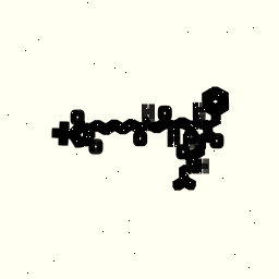 CC(C)CNC(=O)CNC(=O)[C@H](Cc1ccccc1)NC(=O)CNC(=O)CNC(=O)CCCCCN1C(=O)CC(C(C)(C)C)C1=O